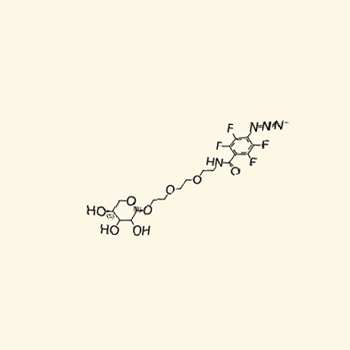 [N-]=[N+]=Nc1c(F)c(F)c(C(=O)NCCOCCOCCO[C@@H]2OC[C@H](O)C(O)C2O)c(F)c1F